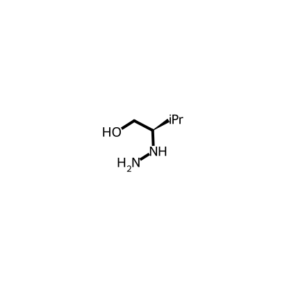 CC(C)[C@H](CO)NN